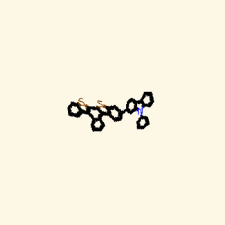 c1ccc(-n2c3ccccc3c3ccc(-c4ccc5c(c4)sc4c6sc7ccccc7c6c6ccccc6c54)cc32)cc1